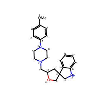 COc1ccc(N2CCN(CC3CC4(CNc5ccccc54)CO3)CC2)cc1